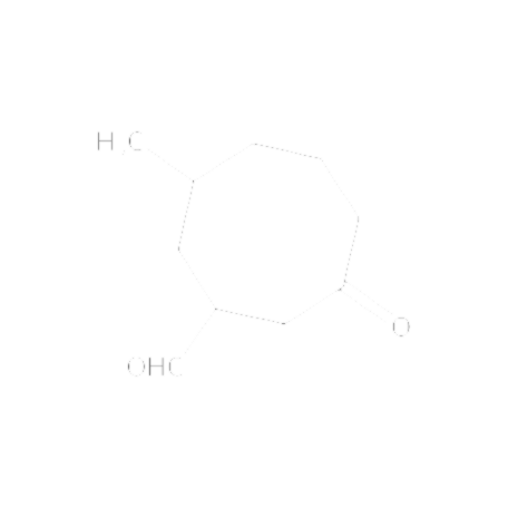 CC1CCCC(=O)CC(C=O)C1